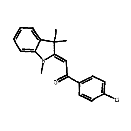 CN1C(=CC(=O)c2ccc(Cl)cc2)C(C)(C)c2ccccc21